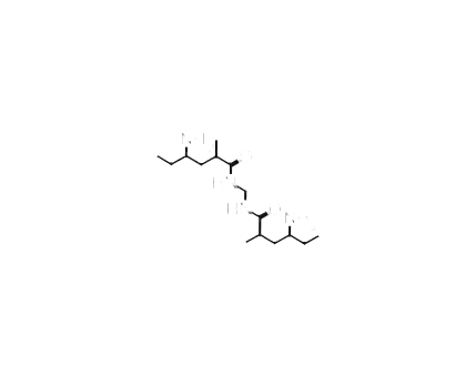 CCC(N)CC(C)C(=O)NCNC(=O)C(C)CC(N)CC